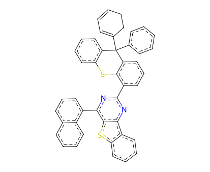 C1=CCCC(C2(c3ccccc3)c3ccccc3Sc3c(-c4nc(-c5cccc6ccccc56)c5sc6ccccc6c5n4)cccc32)=C1